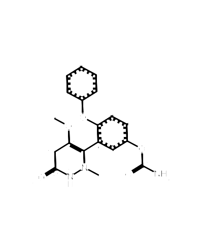 COC1=C(c2cc(OC(N)=O)ccc2Oc2ccccc2)N(C)NC(=O)C1